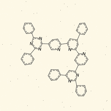 c1ccc(-c2cc(-c3ccc(-c4nc(-c5ccccc5)nc(-c5ccccc5)n4)cn3)nc(-c3cc(-c4cc(-c5ccccc5)nc(-c5ccccc5)n4)ccn3)c2)cc1